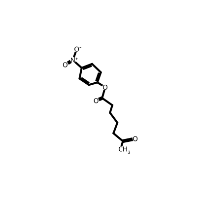 CC(=O)CCCCC(=O)Oc1ccc([N+](=O)[O-])cc1